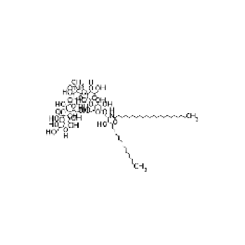 CCCCCCCCCCCCC/C=C/[C@@H](O)[C@H](CO[C@@H]1OC(CO)[C@@H](O[C@@H]2OC(CO)[C@H](O)[C@H](O[C@@H]3OC(CO)[C@@H](O[C@@H]4OC(CO)[C@H](O)[C@H](O[C@]5(C(=O)O)CC(O)[C@@H](O)C([C@H](O)[C@H](O)CO)O5)C4O)[C@H](O)C3NC(C)=O)C2O)[C@H](O)C1O)NC(=O)CCCCCCCCCCCCCCCCCCCCC